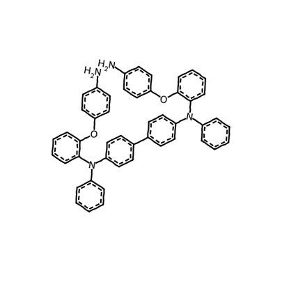 Nc1ccc(Oc2ccccc2N(c2ccccc2)c2ccc(-c3ccc(N(c4ccccc4)c4ccccc4Oc4ccc(N)cc4)cc3)cc2)cc1